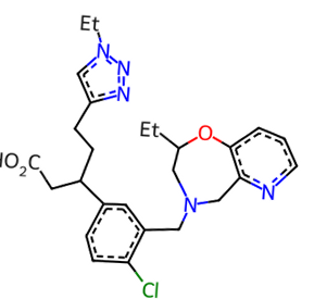 CCC1CN(Cc2cc(C(CCc3cn(CC)nn3)CC(=O)O)ccc2Cl)Cc2ncccc2O1